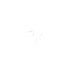 Oc1cc2c(cc1O)C(c1cncc(Br)c1)=NCC2